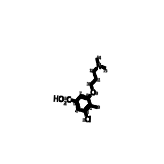 Cc1c(Cl)cc(C(=O)O)cc1OCCCN(C)C